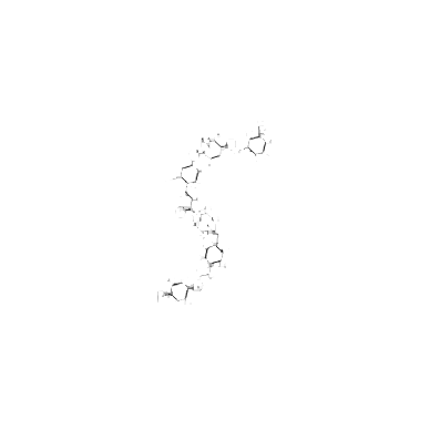 Cc1cc(Oc2ccc(OCc3cccc(F)c3)cn2)ccc1C=CC(=O)N1CCN(Cc2ccc(CCOc3ccc(F)cc3)cc2)CC1